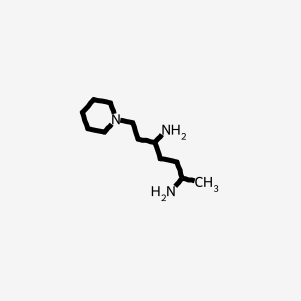 CC(N)CCC(N)CCN1CCCCC1